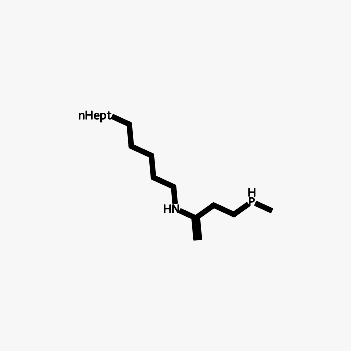 C=C(CCPC)NCCCCCCCCCCCC